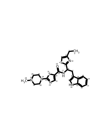 CCc1csc(C(Cc2c[nH]c3ccccc23)NC(=O)c2cnc(N3CCN(C)CC3)s2)n1